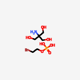 NC(CO)(CO)CO.O=P(O)(O)OCCBr